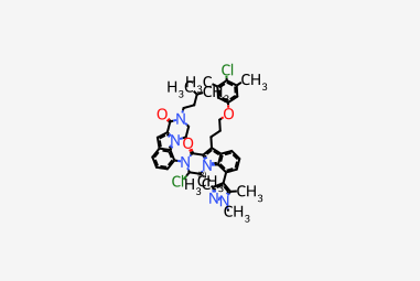 Cc1cc(OCCCc2c3n(c4c(-c5c(C)nn(C)c5C)cccc24)[C@H](C)C(Cl)N(c2cccc4cc5n(c24)CCN(CCC(C)C)C5=O)C3=O)cc(C)c1Cl